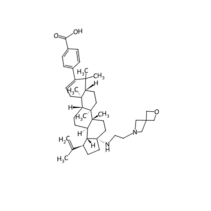 C=C(C)[C@@H]1CC[C@]2(NCCN3CC4(COC4)C3)CC[C@]3(C)[C@H](CC[C@@H]4[C@@]5(C)CC=C(c6ccc(C(=O)O)cc6)C(C)(C)[C@@H]5CC[C@]43C)[C@@H]12